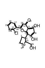 CN1CCC(c2c(O)cc(O)c3c(=O)cc(-c4cccnc4Cl)oc23)C1CO